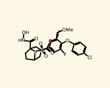 COCCOC(=O)N1CC2CCC(C(=O)NO)(C1)N2S(=O)(=O)c1cc(F)c(Oc2ccc(Cl)cc2)c(F)c1